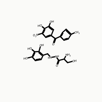 Cc1ccc(C(=O)c2cc(O)c(O)c([N+](=O)[O-])c2)cc1.NC(CO)C(=O)NNCc1ccc(O)c(O)c1O